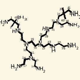 BC(C)(CN)CNCCN(CCN(CCN)CCN)CCN(CCNCCN)CCNCCN(CCN)CC(C)(C)CN